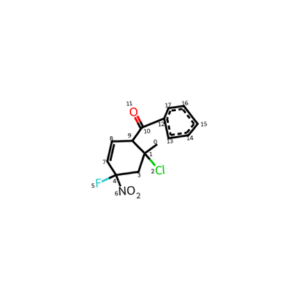 CC1(Cl)CC(F)([N+](=O)[O-])C=CC1C(=O)c1ccccc1